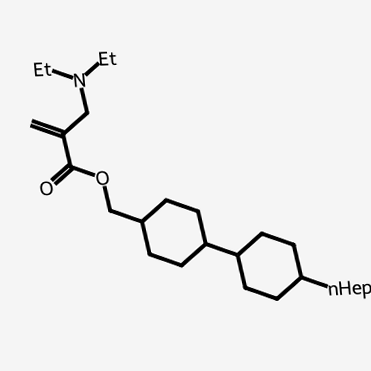 C=C(CN(CC)CC)C(=O)OCC1CCC(C2CCC(CCCCCCC)CC2)CC1